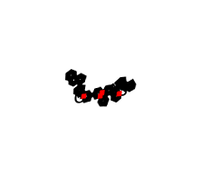 c1ccc2c(c1)ccc1c(-c3ccc4oc5ccc(-c6ccc7c(c6)c6ccccc6c6c7ccc7c6c6ccccc6n7-c6cccc7c6sc6ccccc67)cc5c4c3)cccc12